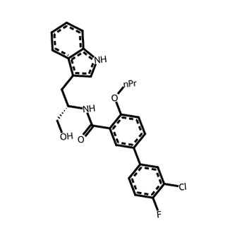 CCCOc1ccc(-c2ccc(F)c(Cl)c2)cc1C(=O)N[C@H](CO)Cc1c[nH]c2ccccc12